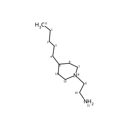 CCCCCC1CCN(CCN)CC1